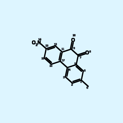 Cc1ccc2c(c1)C(=O)C(=O)c1cc([N+](=O)[O-])ccc1-2